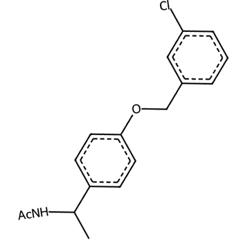 CC(=O)NC(C)c1ccc(OCc2cccc(Cl)c2)cc1